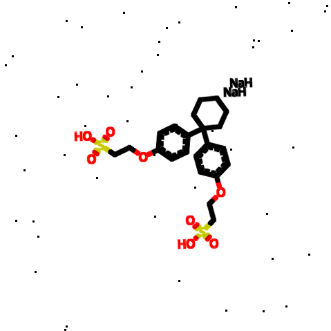 O=S(=O)(O)CCOc1ccc(C2(c3ccc(OCCS(=O)(=O)O)cc3)CCCCC2)cc1.[NaH].[NaH]